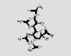 CC(=O)N[C@H]1[C@H]([C@H](OC(C)=O)[C@H](O)COC(C)=O)O[C@](O)(C(=O)O)C[C@@H]1OC(C)=O